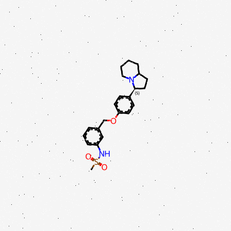 CS(=O)(=O)Nc1cccc(COc2ccc([C@@H]3CCC4CCCCN43)cc2)c1